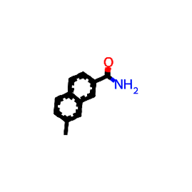 Cc1ccc2ccc(C(N)=O)cc2c1